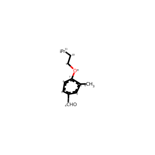 Cc1cc(C=O)ccc1OCCC(C)C